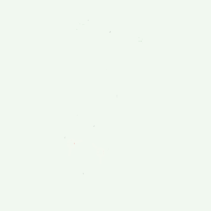 CC1(C)COC(c2ccc(-c3cc(Br)cc(Br)c3)cc2)OC1